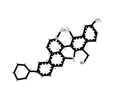 Cc1ccc2c(CC(C)(C)C)c3c(c(C)c2c1)-c1c2c(cc4ccc(C5CCCCC5)cc4c2cc[n+]1C)S3